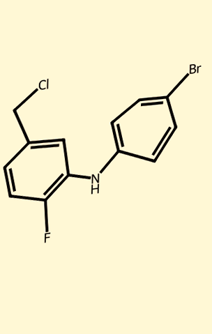 Fc1ccc(CCl)cc1Nc1ccc(Br)cc1